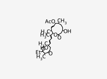 CCC(=O)C(C)C1OC1CC(C)(O)/C=C/C=C(\C)C1OC(=O)CC(O)CCC(C)C(OC(C)=O)/C=C/C1C